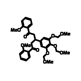 COCOc1cc(C(CC(=O)c2ccccc2OC)CC(=O)c2ccccc2OC)cc(OCOC)c1OCOC